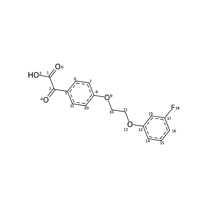 O=C(O)C(=O)c1ccc(OCCOc2cccc(F)c2)cc1